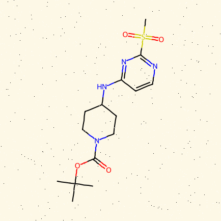 CC(C)(C)OC(=O)N1CCC(Nc2ccnc(S(C)(=O)=O)n2)CC1